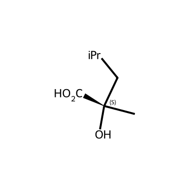 CC(C)C[C@](C)(O)C(=O)O